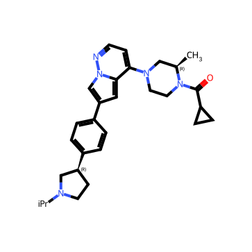 CC(C)N1CC[C@H](c2ccc(-c3cc4c(N5CCN(C(=O)C6CC6)[C@H](C)C5)ccnn4c3)cc2)C1